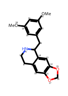 COc1cc(CC2NCCc3cc4c(cc32)OCO4)cc(OC)c1